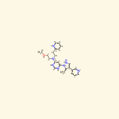 C=C1C(c2cccnc2)=CNN1c1cc(N(CCOC)CCc2ccccn2)ncn1